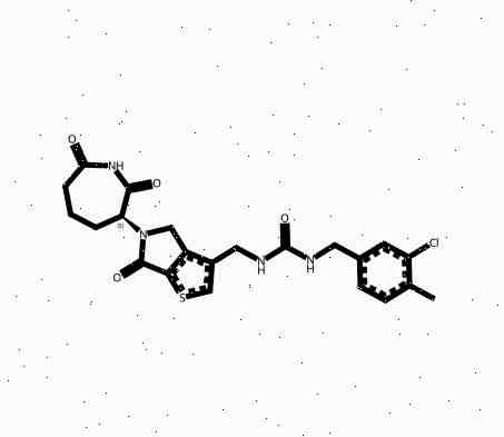 Cc1ccc(CNC(=O)NCc2csc3c2CN([C@H]2CCCC(=O)NC2=O)C3=O)cc1Cl